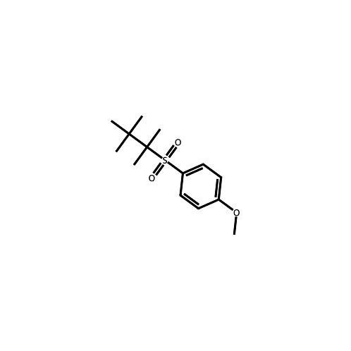 COc1ccc(S(=O)(=O)C(C)(C)C(C)(C)C)cc1